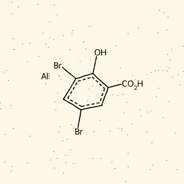 O=C(O)c1cc(Br)cc(Br)c1O.[Al]